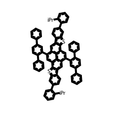 CC(C)c1ccccc1-c1ccc2c(c1)sc1c2cc2c(-c3cc(-c4ccccc4)ccc3-c3ccccc3)cc3c4sc5cc(-c6ccccc6C(C)C)ccc5c4cc4c(-c5cc(-c6ccccc6)ccc5-c5ccccc5)cc1c2c43